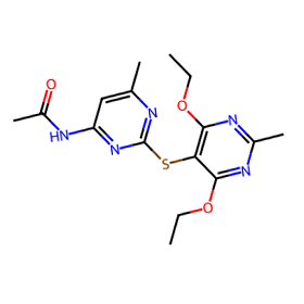 CCOc1nc(C)nc(OCC)c1Sc1nc(C)cc(NC(C)=O)n1